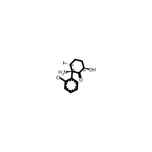 N[C@]1(c2ccccc2Cl)C(=O)[C@H](O)CC[C@H]1I